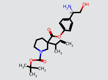 C=CC(C)C1(C(=O)Oc2ccc([C@H](N)CO)cc2)CCCN(C(=O)OC(C)(C)C)C1